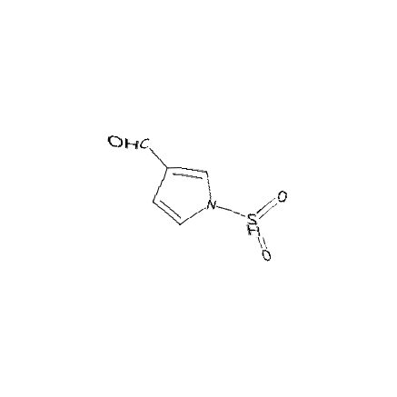 O=Cc1ccn([SH](=O)=O)c1